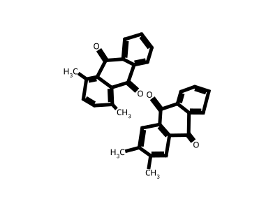 Cc1cc2c(cc1C)C(=O)c1ccccc1C2=O.Cc1ccc(C)c2c1C(=O)c1ccccc1C2=O